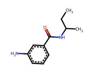 CCC(C)NC(=O)c1c[c]cc(N)c1